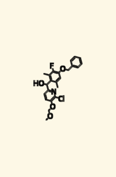 COCOc1ccc(C(O)c2c(C)cc(OCc3ccccc3)c(F)c2C)nc1Cl